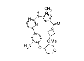 COC1CN(C(=O)c2cc(Nc3nccc(-c4ccc(OC5CCOCC5)c(N)c4)n3)n(C)n2)C1